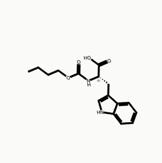 CCCCOC(=O)N[C@@H](Cc1c[nH]c2ccccc12)C(=O)O